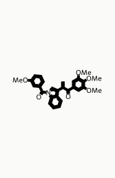 C=C(C(=O)c1cc(OC)c(OC)c(OC)c1)c1cn(C(=O)c2cccc(OC)c2)c2ccccc12